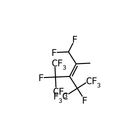 CC(=C(C(F)(C(F)(F)F)C(F)(F)F)C(F)(C(F)(F)F)C(F)(F)F)C(F)F